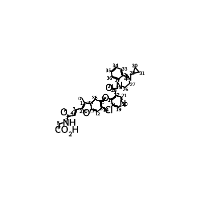 CC1=C(/C=C/C(=O)NCC(=O)O)OC2=CC(Cl)=C(Oc3ccncc3C(=O)N3CCN(C4CC4)c4ccccc43)CC21